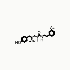 CC(=O)c1cccc(CCNC(=O)NC[C@H](Cc2ccc(O)cc2)N(C)C)c1